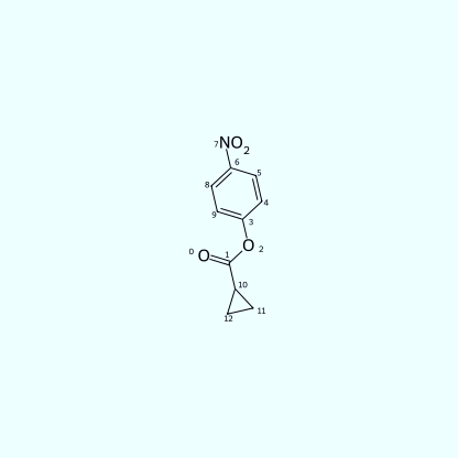 O=C(Oc1ccc([N+](=O)[O-])cc1)C1CC1